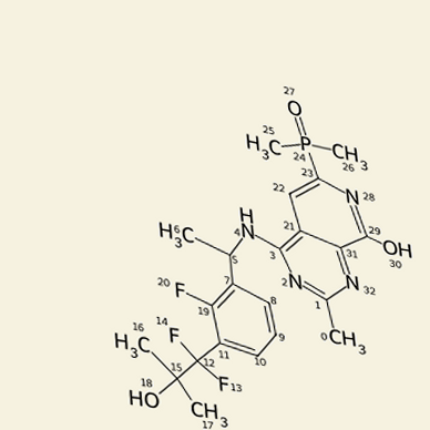 Cc1nc(NC(C)c2cccc(C(F)(F)C(C)(C)O)c2F)c2cc(P(C)(C)=O)nc(O)c2n1